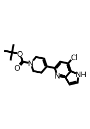 CC(C)(C)OC(=O)N1CC=C(c2cc(Cl)c3[nH]ccc3n2)CC1